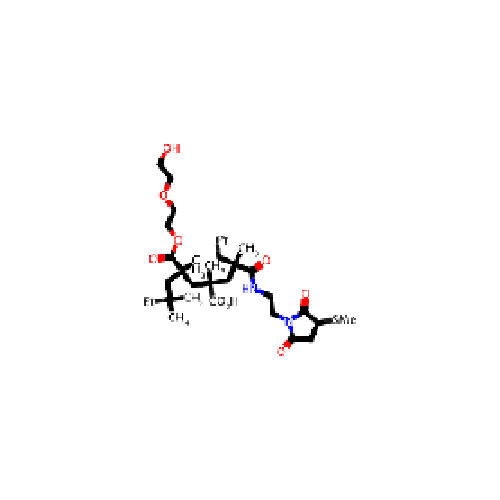 CCC(C)(C)CC(C)(CC(C)(CC(C)(CC(C)C)C(=O)NCCN1C(=O)CC(SC)C1=O)C(=O)O)C(=O)OCCOCCO